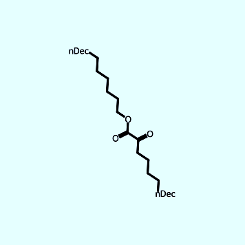 CCCCCCCCCCCCCCCCOC(=O)C(=O)CCCCCCCCCCCCCC